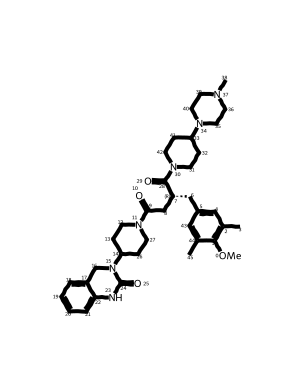 COc1c(C)cc(C[C@H](CC(=O)N2CCC(N3Cc4ccccc4NC3=O)CC2)C(=O)N2CCC(N3CCN(C)CC3)CC2)cc1C